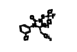 CCC1NN(SC(F)(Cl)Cl)C(=O)N1c1cccc(Cl)c1